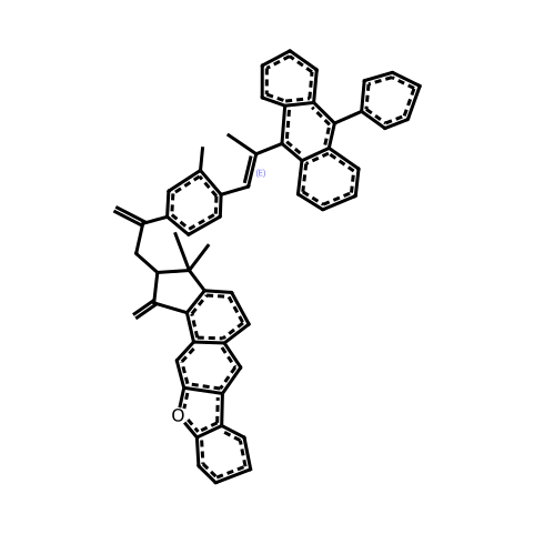 C=C(CC1C(=C)c2c(ccc3cc4c(cc23)oc2ccccc24)C1(C)C)c1ccc(/C=C(\C)c2c3ccccc3c(-c3ccccc3)c3ccccc23)c(C)c1